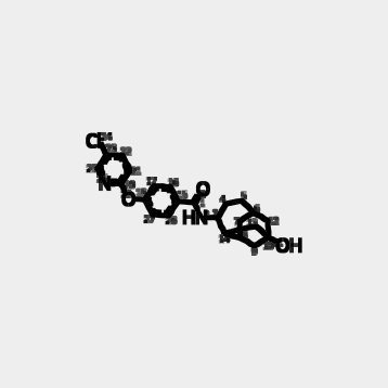 O=C(NC1CCC2CC3CC(O)(C2)CC31)c1ccc(Oc2ccc(Cl)cn2)cc1